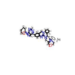 O=C(O)N1CCOC[C@H]1CN(Cc1ccccc1)c1ncc2cc(-c3ncnc4c3cnn4C3CCCCO3)ccc2n1